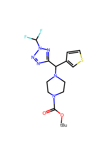 CC(C)(C)OC(=O)N1CCN(C(c2ccsc2)c2nnn(C(F)F)n2)CC1